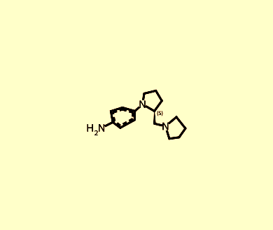 Nc1ccc(N2CCC[C@H]2CN2CCCC2)cc1